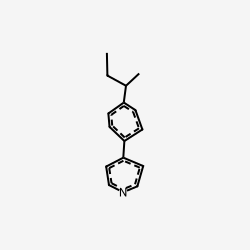 CCC(C)c1ccc(-c2ccncc2)cc1